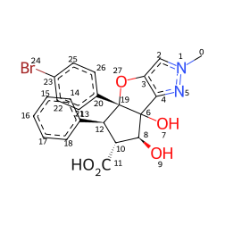 Cn1cc2c(n1)C1(O)[C@@H](O)[C@H](C(=O)O)[C@@H](c3ccccc3)[C@]1(c1ccc(Br)cc1)O2